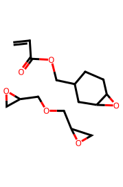 C(OCC1CO1)C1CO1.C=CC(=O)OCC1CCC2OC2C1